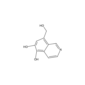 OCc1cc(O)c(O)c2ccncc12